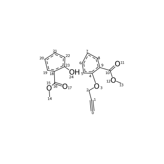 C#CCOc1ccccc1C(=O)OC.COC(=O)c1ccccc1O